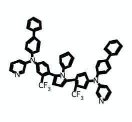 FC(F)(F)c1cc(N(c2ccc(-c3ccccc3)cc2)c2cccnc2)ccc1-c1ccc(-c2ccc(N(c3ccc(-c4ccccc4)cc3)c3cccnc3)cc2C(F)(F)F)n1-c1ccccc1